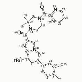 Cc1ccc(-c2cc(C(C)(C)C)c3nc(C(=O)N4CCN(C(=O)c5ncccn5)CC4(C)C)cn3n2)cc1F